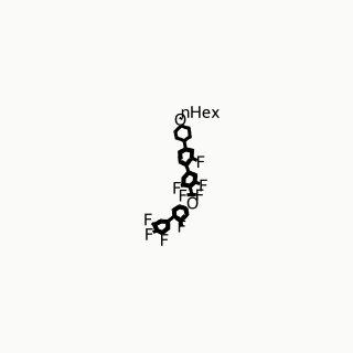 CCCCCCOC1CCC(c2ccc(-c3cc(F)c(C(F)(F)Oc4ccc(-c5cc(F)c(F)c(F)c5)c(F)c4)c(F)c3)c(F)c2)CC1